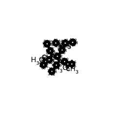 CC1(C)c2ccccc2-c2ccc(N(c3ccc(-c4ccccc4)cc3)c3cc(-c4ccc5c6c7sc8ccccc8c7ccc6n(-c6ccccc6)c5c4)cc(N(C4=CC5C(C=C4)c4ccccc4C5(C)C)c4ccc(-c5ccccc5)cc4)c3)cc21